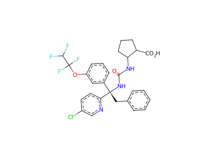 O=C(NC1CCCC1C(=O)O)N[C@@](Cc1ccccc1)(c1cccc(OC(F)(F)C(F)F)c1)c1ccc(Cl)cn1